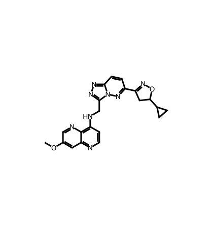 COc1cnc2c(NCc3nnc4ccc(C5=NOC(C6CC6)C5)nn34)ccnc2c1